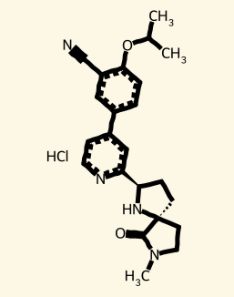 CC(C)Oc1ccc(-c2ccnc([C@H]3CC[C@@]4(CCN(C)C4=O)N3)c2)cc1C#N.Cl